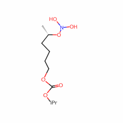 CC(C)OC(=O)OCCCC[C@H](C)ON(O)O